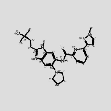 Cn1ccc(-c2cccc(C(=O)Nc3cc4c(cc3N3CCCC3)nc(CCC(C)(C)O)n4C)n2)n1